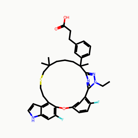 CCn1nc2nc1-c1cc(ccc1F)Oc1c(F)cc3[nH]ccc3c1CCSCC(C)(C)CCCC2(C)c1cccc(CCC(=O)O)c1